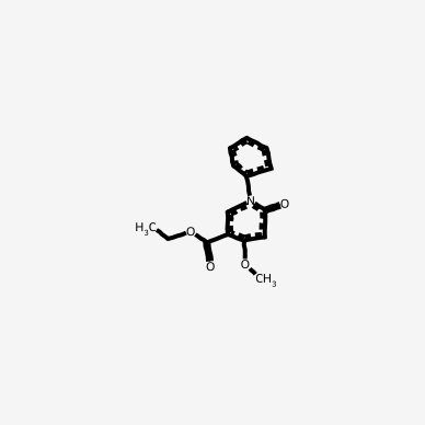 CCOC(=O)c1cn(-c2ccccc2)c(=O)cc1OC